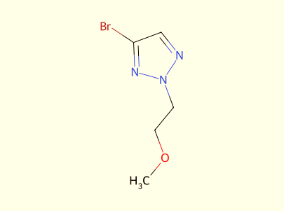 COCCn1ncc(Br)n1